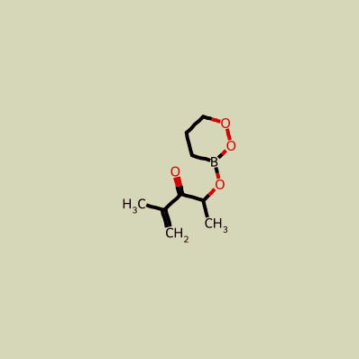 C=C(C)C(=O)C(C)OB1CCCOO1